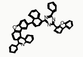 c1ccc(-c2nc(-c3ccc(-c4ccc5oc6ccc7c(-c8ccccc8)nc8ccccc8c7c6c5c4)c4ccccc34)nc(-c3cccc4c3oc3ccccc34)n2)cc1